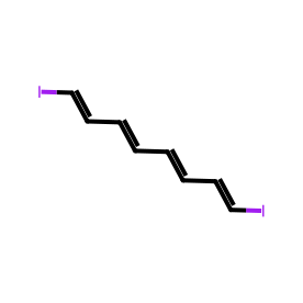 I/C=C/C=C/C=C/C=C/I